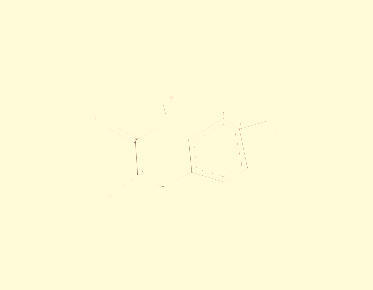 CC(C)(C)OC(=O)C(Cc1ccc(O)cc1)C(=O)O